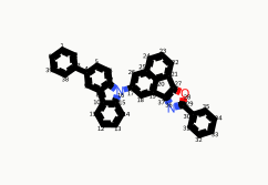 c1ccc(-c2ccc3c(c2)c2ccccc2n3-c2cc3c4c(cccc4c2)-c2oc(-c4ccccc4)nc2-3)cc1